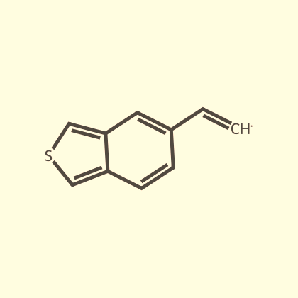 [CH]=Cc1ccc2cscc2c1